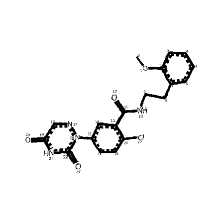 COc1ccccc1CCNC(=O)c1cc(-n2ncc(=O)[nH]c2=O)ccc1Cl